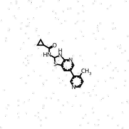 Cc1ccncc1-c1cnc2c(c1)SC(NC(=O)C1CC1)N2